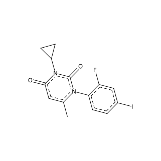 Cc1cc(=O)n(C2CC2)c(=O)n1-c1ccc(I)cc1F